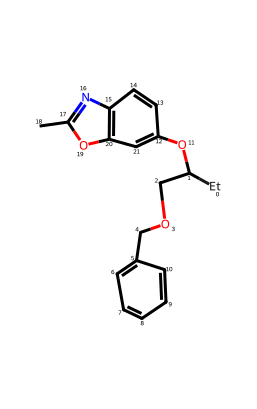 CCC(COCc1ccccc1)Oc1ccc2nc(C)oc2c1